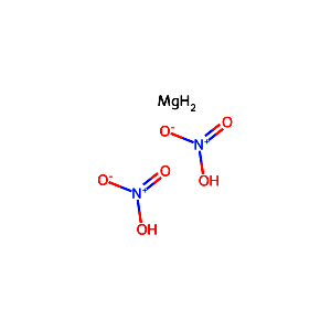 O=[N+]([O-])O.O=[N+]([O-])O.[MgH2]